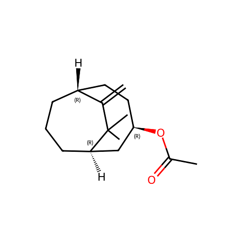 C=C1[C@@H]2CCC[C@H](C[C@H](OC(C)=O)CC2)C1(C)C